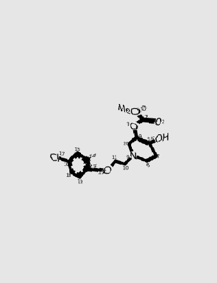 COC(=O)OC1=C(O)CCN(CCOc2ccc(Cl)cc2)C1